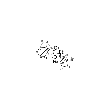 CC[C@@]1(OC(=O)C23CC4CC(CC(C4)C2)C3)C[C@H]2CC[C@@H]1C2